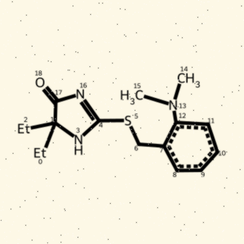 CCC1(CC)NC(SCc2ccccc2N(C)C)=NC1=O